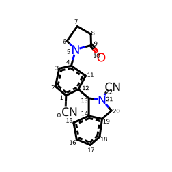 N#Cc1ccc(N2CCCC2=O)cc1C1c2ccccc2CN1C#N